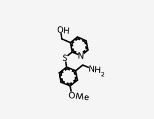 COc1ccc(Sc2ncccc2CO)c(CN)c1